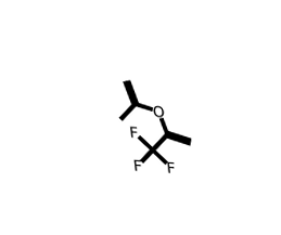 C=C(C)OC(=C)C(F)(F)F